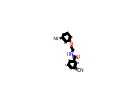 N#Cc1cccc(OCCNC(=O)c2cccc(C#N)c2)c1